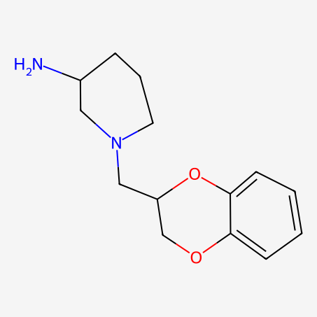 NC1CCCN(CC2COc3ccccc3O2)C1